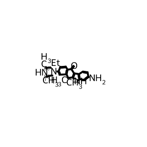 CCc1cc2c(cc1N1C[C@@H](C)N[C@@H](C)C1)C(C)(C)c1[nH]c3cc(N)ccc3c1C2=O